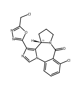 O=C1c2c(Cl)cccc2-n2cnc(-c3nnc(CCl)o3)c2[C@@H]2CCCN12